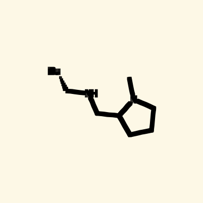 CC[C@@H](C)CNCC1CCCN1C